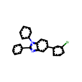 Brc1cccc(-c2ccc3c(c2)nc(-c2ccccc2)n3-c2ccccc2)c1